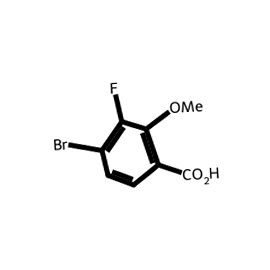 COc1c(C(=O)O)ccc(Br)c1F